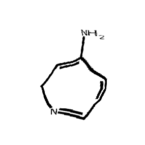 NC1=CCN=CC=C1